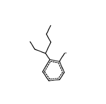 [CH2]c1ccccc1C(CC)CCC